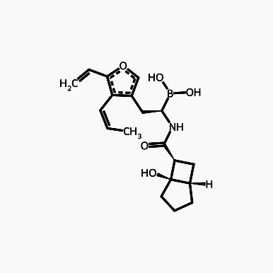 C=Cc1occ(C[C@H](NC(=O)[C@H]2C[C@@H]3CCC[C@@]32O)B(O)O)c1/C=C\C